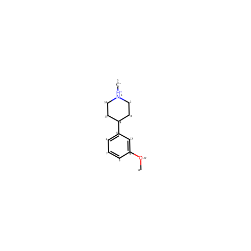 [CH2-][NH+]1CCC(c2cccc(OC)c2)CC1